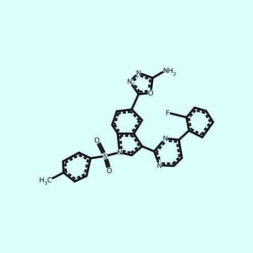 Cc1ccc(S(=O)(=O)n2cc(-c3nccc(-c4ccccc4F)n3)c3cc(-c4nnc(N)o4)ccc32)cc1